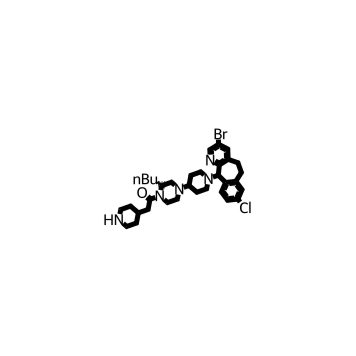 CCCC[C@H]1CN(C2CCN(C3c4ccc(Cl)cc4CCc4cc(Br)cnc43)CC2)CCN1C(=O)CC1CCNCC1